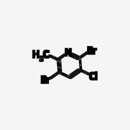 Cc1nc(Br)c(Cl)cc1Br